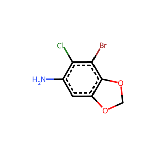 Nc1cc2c(c(Br)c1Cl)OCO2